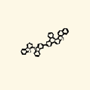 c1ccc2c(c1)ccc1c2oc2ccc3c4ccc(-c5ccc6c(c5)c5ccccc5n6-c5cccc6c5oc5ccccc56)cc4c4ccccc4c3c21